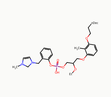 CCCCCCCCCCCCOc1cccc(OCC(COP(=O)(O)Oc2ccccc2CN2[CH]N(C)C=C2)OCC)c1C